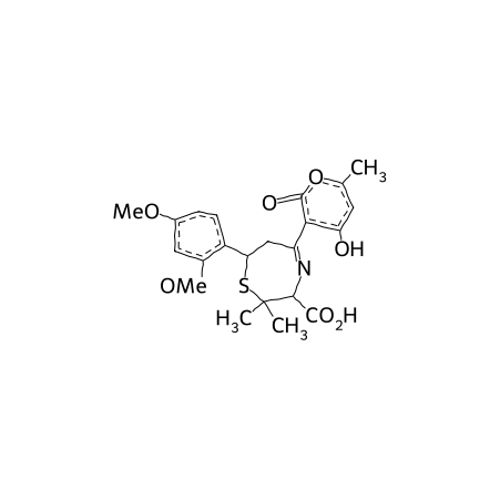 COc1ccc(C2CC(c3c(O)cc(C)oc3=O)=NC(C(=O)O)C(C)(C)S2)c(OC)c1